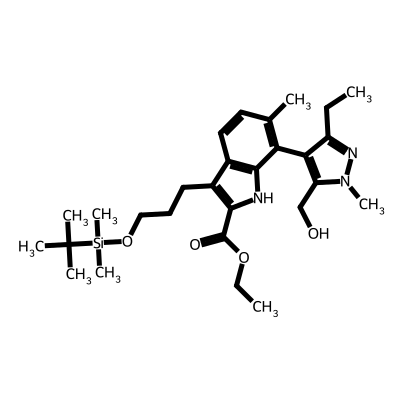 CCOC(=O)c1[nH]c2c(-c3c(CC)nn(C)c3CO)c(C)ccc2c1CCCO[Si](C)(C)C(C)(C)C